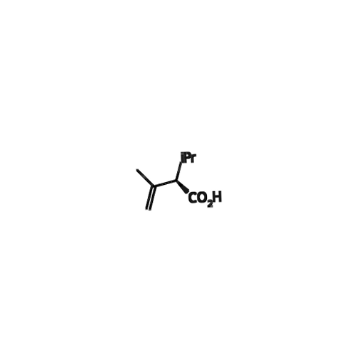 C=C(C)[C@H](C(=O)O)C(C)C